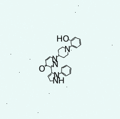 O=c1ccn(C2CCN(c3ccccc3O)CC2)nc1C1=CCNN1c1ccccc1